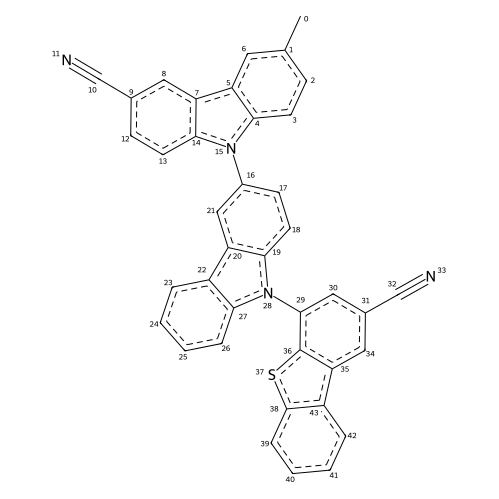 Cc1ccc2c(c1)c1cc(C#N)ccc1n2-c1ccc2c(c1)c1ccccc1n2-c1cc(C#N)cc2c1sc1ccccc12